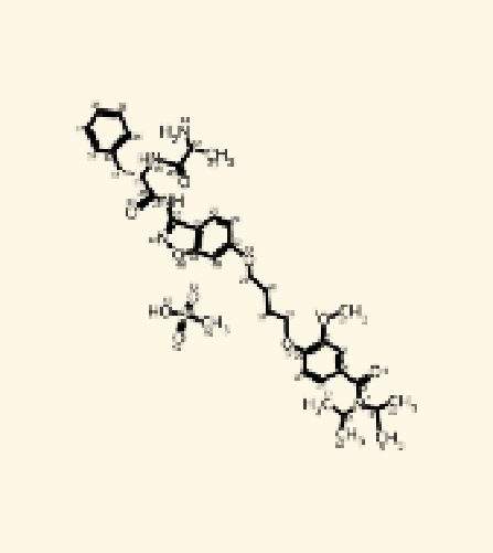 COc1cc(C(=O)N(C(C)C)C(C)C)ccc1OCCCCOc1ccc2c(NC(=O)[C@H](Cc3ccccc3)NC(=O)[C@H](C)N)noc2c1.CS(=O)(=O)O